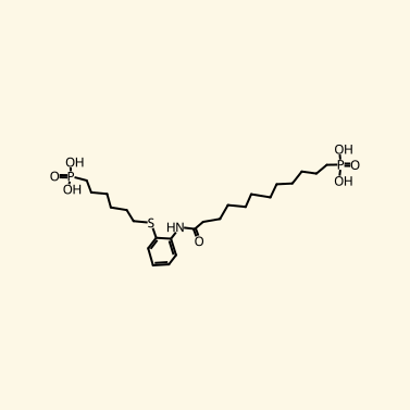 O=C(CCCCCCCCCCCP(=O)(O)O)Nc1ccccc1SCCCCCCP(=O)(O)O